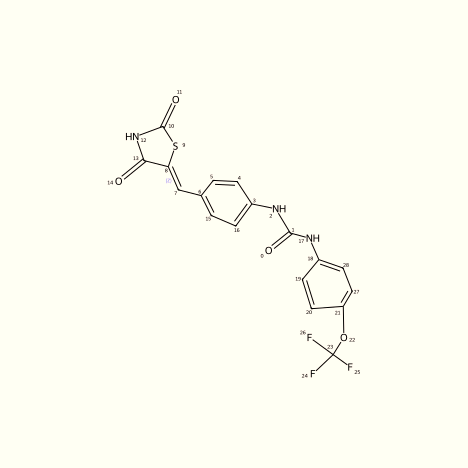 O=C(Nc1ccc(/C=C2\SC(=O)NC2=O)cc1)Nc1ccc(OC(F)(F)F)cc1